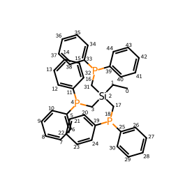 CC[Si](CP(c1ccccc1)c1ccccc1)(CP(c1ccccc1)c1ccccc1)CP(c1ccccc1)c1ccccc1